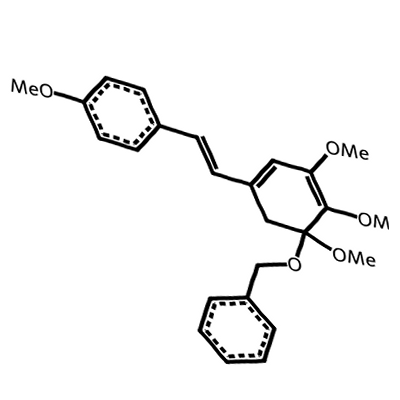 COC1=C(OC)C(OC)(OCc2ccccc2)CC(C=Cc2ccc(OC)cc2)=C1